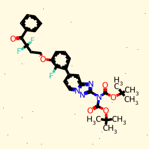 CC(C)(C)OC(=O)N(C(=O)OC(C)(C)C)c1nc2cc(-c3cccc(OCCC(F)(F)C(=O)c4ccccc4)c3F)ccn2n1